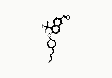 CCCCC1CCC(Oc2ccc3cc(C=O)ccc3c2C(F)(F)F)CC1